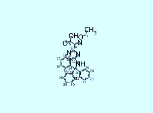 CCON=C(C(=O)O)c1nsc(NC(c2ccccc2)(c2ccccc2)c2ccccc2)n1